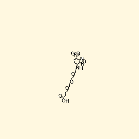 O=C(O)CCCOCCOCCOCCNc1ccc([N+](=O)[O-])c2nonc12